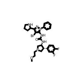 COCCN1C[C@@H](NC(=O)Nc2c(Br)c(C3CCCN3)nn2-c2ccccc2)[C@H](c2ccc(F)c(F)c2)C1